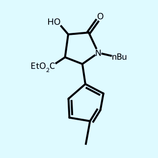 CCCCN1C(=O)C(O)C(C(=O)OCC)C1c1ccc(C)cc1